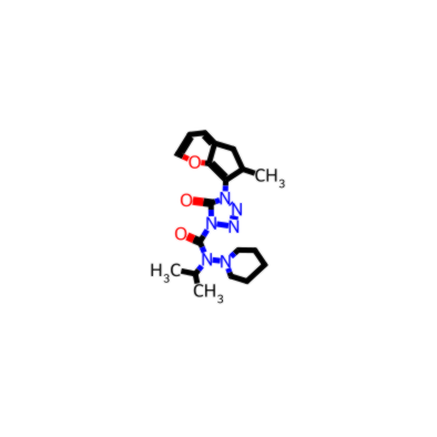 CC1CC2=CC=COC2=C1n1nnn(C(=O)N(C(C)C)N2CCCCC2)c1=O